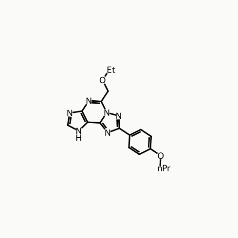 CCCOc1ccc(-c2nc3c4[nH]cnc4nc(COCC)n3n2)cc1